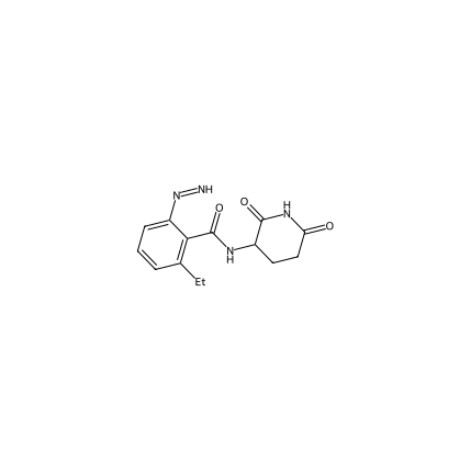 CCc1cccc(N=N)c1C(=O)NC1CCC(=O)NC1=O